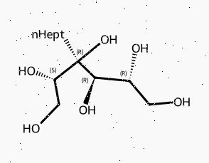 CCCCCCC[C@](O)([C@H](O)[C@H](O)CO)[C@@H](O)CO